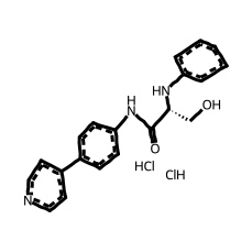 Cl.Cl.O=C(Nc1ccc(-c2ccncc2)cc1)[C@@H](CO)Nc1ccccc1